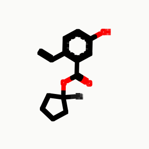 C=Cc1ccc(O)cc1C(=O)OC1(CC)CCCC1